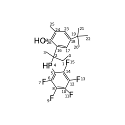 CCC(C)(Pc1c(F)c(F)c(F)c(F)c1F)c1cc(C(C)(C)C)cc(C)c1O